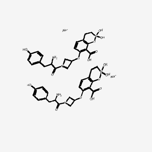 NC(Cc1ccc(O)cc1)C(=O)N1CC(Oc2ccc3c(c2C(=O)O)O[B-](O)(O)CC3)C1.NC(Cc1ccc(O)cc1)C(=O)N1CC(Oc2ccc3c(c2C(=O)O)O[B-](O)(O)CC3)C1.[Na+].[Na+]